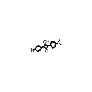 CN=C1C=CC(=C2C(=O)C(c3ccc(N(C)C)cc3)=C2O)C=C1